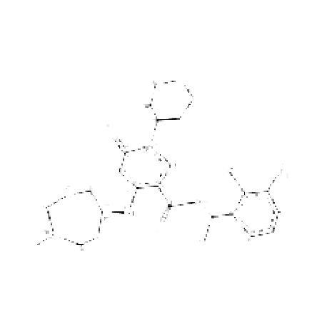 Cc1c(C(C)NC(=O)c2cn(C3CCOCC3)c(=O)cc2N[C@@H]2CCCN(C)CC2)cccc1C(F)(F)F